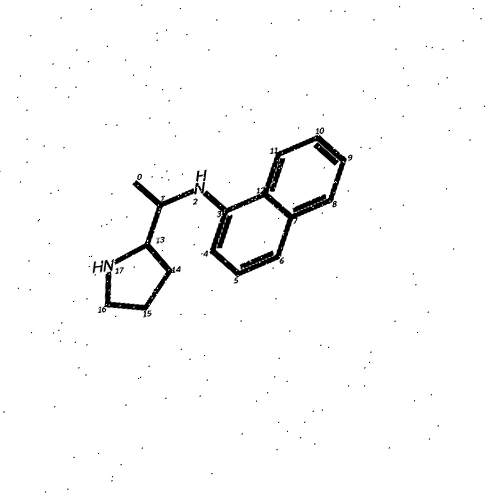 CC(Nc1cccc2ccccc12)C1CCCN1